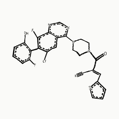 N#C/C(=C\c1cccs1)C(=O)N1CCN(c2ncnc3c(F)c(-c4c(O)cccc4F)c(Cl)cc23)CC1